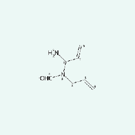 C=CCN([C]=O)C(N)C=C